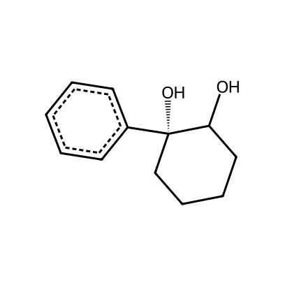 OC1CCCC[C@@]1(O)c1ccccc1